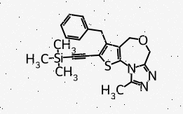 Cc1nnc2n1-c1sc(C#C[Si](C)(C)C)c(Cc3ccccc3)c1COC2